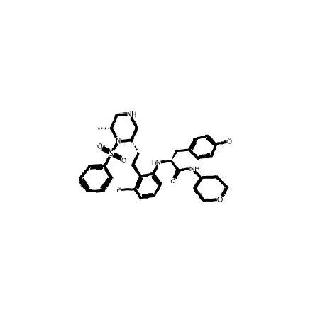 C[C@@H]1CNC[C@H](CCc2c(F)cccc2N[C@@H](Cc2ccc(Cl)cc2)C(=O)NC2CCOCC2)N1S(=O)(=O)c1ccccc1